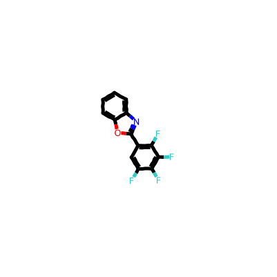 Fc1cc(-c2nc3ccccc3o2)c(F)c(F)c1F